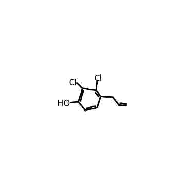 C=CCc1ccc(O)c(Cl)c1Cl